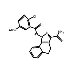 COc1ccc(Cl)c(C(=O)Nn2nc(C(N)=O)c3c2-c2ccccc2CC3)c1